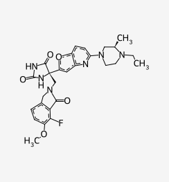 CCN1CCN(c2ccc3oc([C@]4(CN5Cc6ccc(OC)c(F)c6C5=O)NC(=O)NC4=O)cc3n2)C[C@H]1C